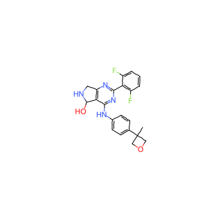 CC1(c2ccc(Nc3nc(-c4c(F)cccc4F)nc4c3C(O)NC4)cc2)COC1